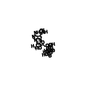 C[C@@]1(F)[C@H](O)C(COP(=O)(O)OP(=O)(O)OP(=O)(O)O)O[C@H]1n1cc(-c2ccn[nH]2)c2c(N)ncnc21